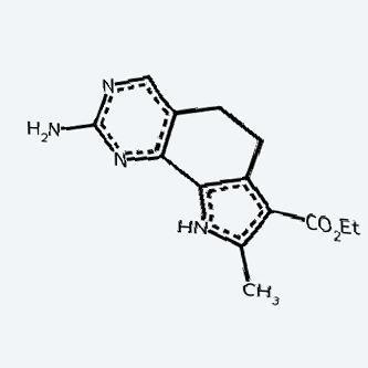 CCOC(=O)c1c(C)[nH]c2c1CCc1cnc(N)nc1-2